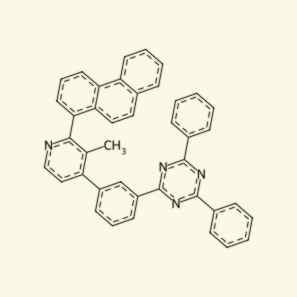 Cc1c(-c2cccc(-c3nc(-c4ccccc4)nc(-c4ccccc4)n3)c2)ccnc1-c1cccc2c1ccc1ccccc12